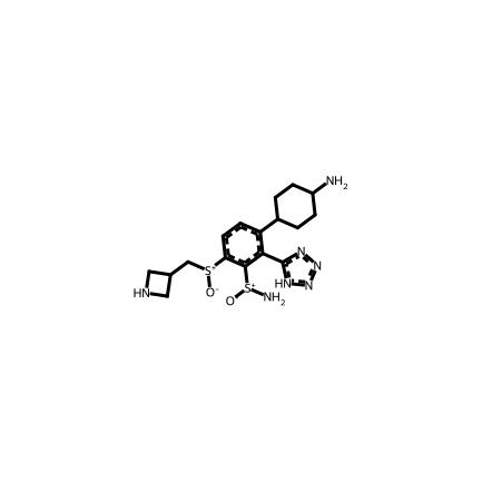 NC1CCC(c2ccc([S+]([O-])CC3CNC3)c([S+](N)[O-])c2-c2nnn[nH]2)CC1